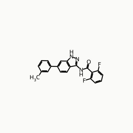 Cc1cccc(-c2ccc3c(NC(=O)c4c(F)cccc4F)n[nH]c3c2)c1